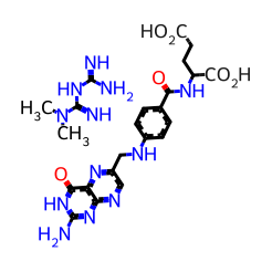 CN(C)C(=N)NC(=N)N.Nc1nc2ncc(CNc3ccc(C(=O)NC(CCC(=O)O)C(=O)O)cc3)nc2c(=O)[nH]1